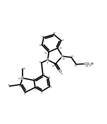 Cc1cc2cccc(Cn3c(=O)n(CCC(=O)O)c4ccccc43)c2n1C